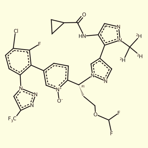 [2H]C([2H])([2H])n1ncc(NC(=O)C2CC2)c1-c1cnn([C@H](CCOC(F)F)c2ccc(-c3c(-n4cc(C(F)(F)F)nn4)ccc(Cl)c3F)c[n+]2[O-])c1